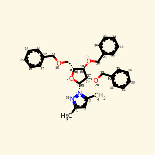 Cc1cc(C)n([C@@H]2O[C@H](COCc3ccccc3)[C@@H](OCc3ccccc3)[C@@H]2OCc2ccccc2)n1